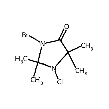 CC1(C)C(=O)N(Br)C(C)(C)N1Cl